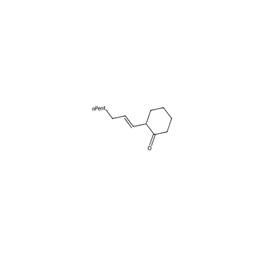 CCCCCC/C=C/C1CCCCC1=O